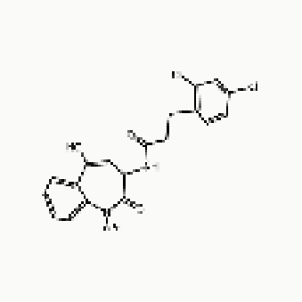 CCCN1C(=O)C(NC(=O)CCc2ccc(Cl)cc2Cl)C=C(C#N)c2ccccc21